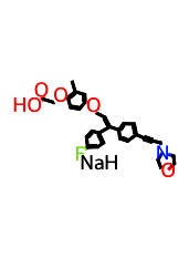 Cc1cc(OCC=C(c2ccc(F)cc2)c2ccc(C#CCN3CCOCC3)cc2)ccc1OCC(=O)O.[NaH]